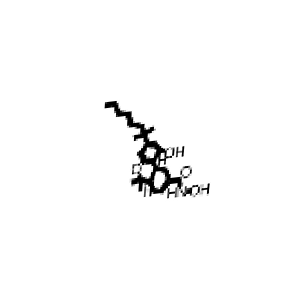 CCCCCCC(C)(C)c1cc(O)c2c(c1)OC(C)(C)[C@@H]1CC=C(C(=O)NO)C[C@@H]21